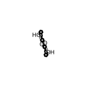 O=S(=O)(c1ccc(N=Cc2ccccc2O)cc1)c1ccc(N=Cc2ccccc2O)cc1